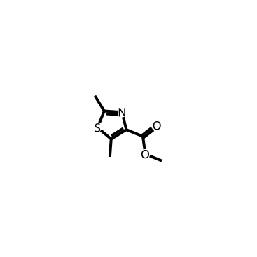 COC(=O)c1nc(C)sc1C